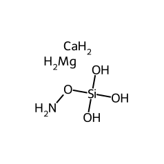 NO[Si](O)(O)O.[CaH2].[MgH2]